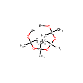 CC(C)O[Si](C)(C)O[Si](C)(C)O[Si](C)(C)O[Si](C)(C)OC(C)C